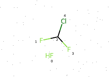 F.FC(F)Cl